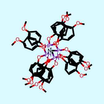 COc1ccc(O[PH](Oc2ccc(OC)cc2)(Oc2ccc(OC)cc2)[Ni]([PH](Oc2ccc(OC)cc2)(Oc2ccc(OC)cc2)Oc2ccc(OC)cc2)([PH](Oc2ccc(OC)cc2)(Oc2ccc(OC)cc2)Oc2ccc(OC)cc2)[PH](Oc2ccc(OC)cc2)(Oc2ccc(OC)cc2)Oc2ccc(OC)cc2)cc1